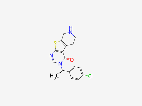 C[C@H](c1ccc(Cl)cc1)n1cnc2sc3c(c2c1=O)CCNC3